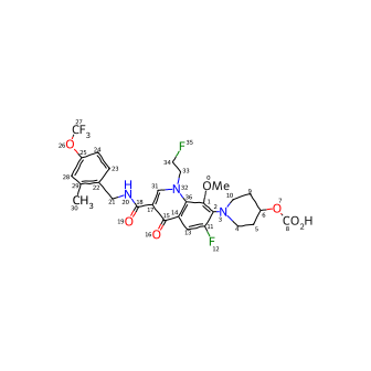 COc1c(N2CCC(OC(=O)O)CC2)c(F)cc2c(=O)c(C(=O)NCc3ccc(OC(F)(F)F)cc3C)cn(CCF)c12